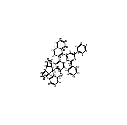 c1ccc(-c2cc(-c3c(-c4ccc5c(c4)C4(c6ccccc6O5)c5ccccc5-c5ccccc54)ccc4ccccc34)nc(-c3ccccc3)n2)cc1